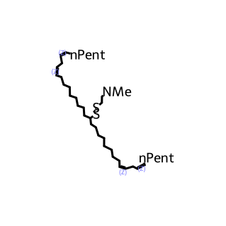 CCCCC/C=C\C/C=C\CCCCCCCCC(CCCCCCCC/C=C\C/C=C\CCCCC)SSCCNC